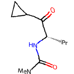 CNC(=O)N[C@H](C(=O)C1CC1)C(C)C